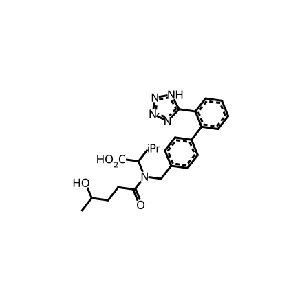 CC(O)CCC(=O)N(Cc1ccc(-c2ccccc2-c2nnn[nH]2)cc1)C(C(=O)O)C(C)C